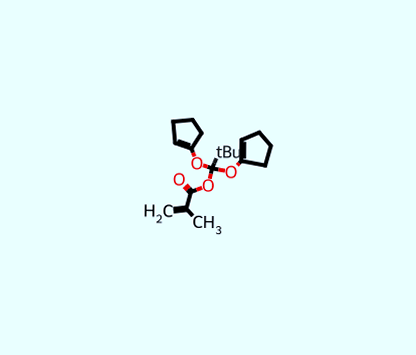 C=C(C)C(=O)OC(OC1=CCCC1)(OC1=CCCC1)C(C)(C)C